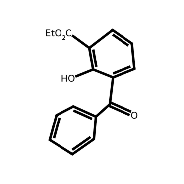 CCOC(=O)c1cccc(C(=O)c2ccccc2)c1O